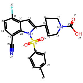 Cc1ccc(S(=O)(=O)n2c(C3=CCN(C(=O)O)CC3)cc3c(F)ccc(C#N)c32)cc1